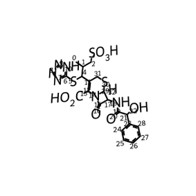 CC(CS(=O)(=O)O)C(Sc1nnn[nH]1)C1=C(C(=O)O)N2C(=O)C(NC(=O)C(O)c3ccccc3)[C@@H]2SC1